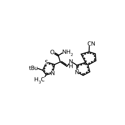 Cc1nc(C(=CNc2nccc3ccc(C#N)cc23)C(N)=O)sc1C(C)(C)C